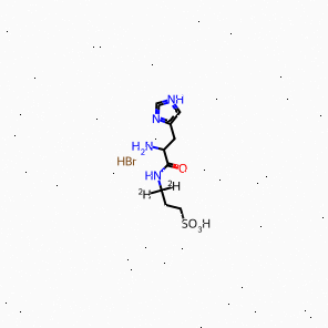 Br.[2H]C([2H])(CCS(=O)(=O)O)NC(=O)C(N)Cc1c[nH]cn1